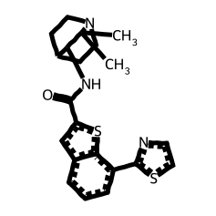 CC1(C)C(NC(=O)c2cc3cccc(-c4nccs4)c3s2)C2CCN1CC2